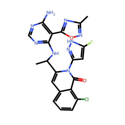 Cc1noc(-c2c(N)ncnc2NC(C)c2cc3cccc(Cl)c3c(=O)n2-c2cc(F)[nH]n2)n1